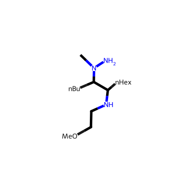 CCCCCCC(NCCOC)C(CCCC)N(C)N